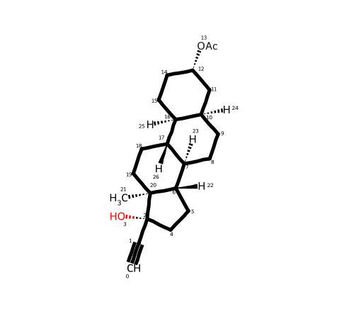 C#C[C@]1(O)CC[C@H]2[C@@H]3CC[C@@H]4C[C@@H](OC(C)=O)CC[C@@H]4[C@H]3CC[C@@]21C